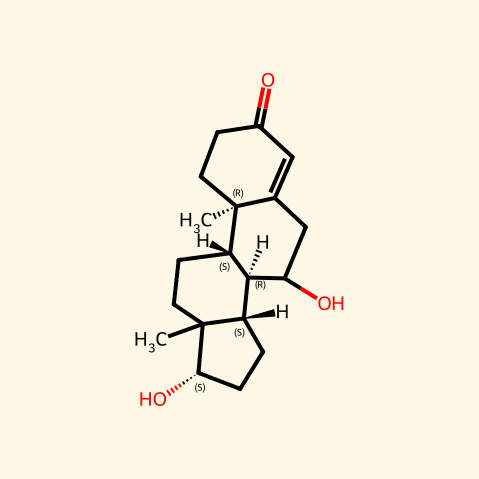 CC12CC[C@H]3[C@@H](C(O)CC4=CC(=O)CC[C@@]43C)[C@@H]1CC[C@@H]2O